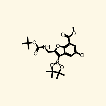 COC(=O)c1cc(Cl)cc2c(B3OC(C)(C)C(C)(C)O3)c(CNC(=O)OC(C)(C)C)oc12